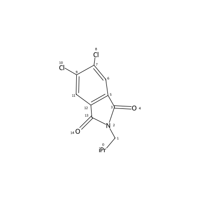 CC(C)CN1C(=O)c2cc(Cl)c(Cl)cc2C1=O